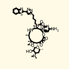 CC[C@H]1OC(=O)C(C)(F)C(=O)[C@H](C)[C@@H](O[C@@H]2O[C@H](C)CC(N(C)C)C2O)[C@](C)(OC)C[C@@H](C)CN[C@H](C)[C@H]2N(CCCCn3cc(-c4nc5ccccc5s4)nn3)C(=O)O[C@]12n1ccc(N)nc1=O